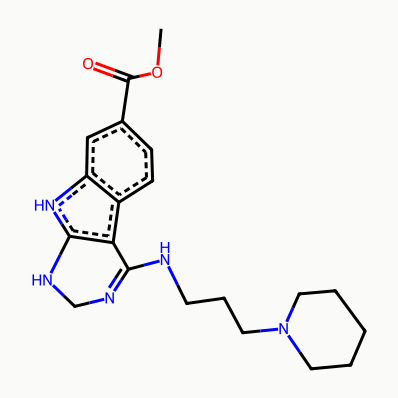 COC(=O)c1ccc2c3c([nH]c2c1)NCN=C3NCCCN1CCCCC1